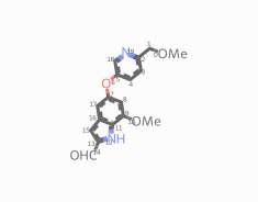 COCc1ccc(Oc2cc(OC)c3[nH]c(C=O)cc3c2)cn1